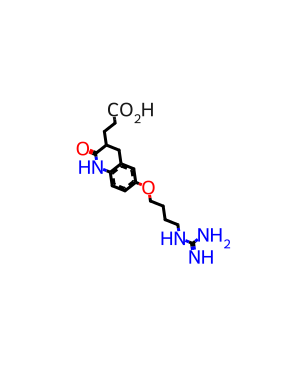 N=C(N)NCCCCOc1ccc2c(c1)CC(CCC(=O)O)C(=O)N2